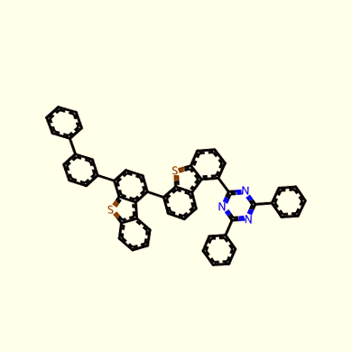 c1ccc(-c2cccc(-c3ccc(-c4cccc5c4sc4cccc(-c6nc(-c7ccccc7)nc(-c7ccccc7)n6)c45)c4c3sc3ccccc34)c2)cc1